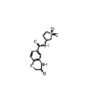 O=C1COc2ccc(C(=O)NC3CCS(=O)(=O)C3)cc2N1